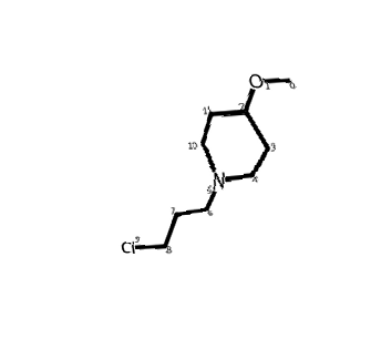 COC1CCN(CCCCl)CC1